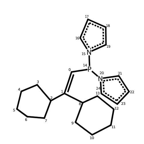 C(=C(C1CCCCC1)C1CCCCC1)P(n1cccc1)n1cccc1